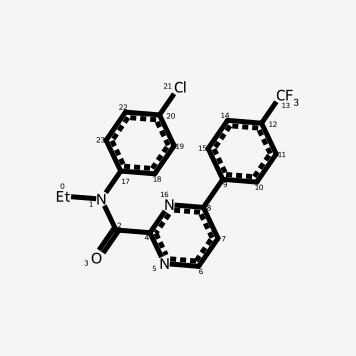 CCN(C(=O)c1nccc(-c2ccc(C(F)(F)F)cc2)n1)c1ccc(Cl)cc1